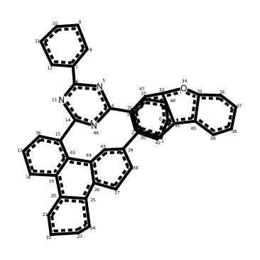 c1ccc(-c2nc(-c3ccccc3)nc(-c3cccc4c5ccccc5c5ccc(-c6ccc7oc8ccccc8c7c6)cc5c34)n2)cc1